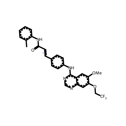 COc1cc2c(Nc3ccc(/C=C/C(=O)Nc4ccccc4C)cc3)ncnc2cc1OCC(F)(F)F